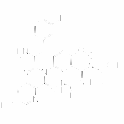 CNc1c(-n2c(C(N)Cc3cc(F)cc(F)c3)nc3cc(Br)cnc3c2=O)ccc(OCl)c1C(=N)N[S+](C)[O-]